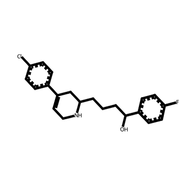 OC(CCCC1CC(c2ccc(Cl)cc2)=CCN1)c1ccc(F)cc1